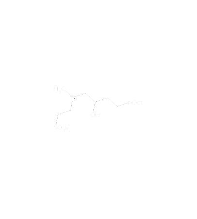 CCCCCCCCCCC(O)CN(C)CCS(=O)(=O)O